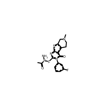 CC(=O)N(N)Sc1nc2sc3c(c2c(=O)n1-c1cccc(F)c1)CCN(C)C3